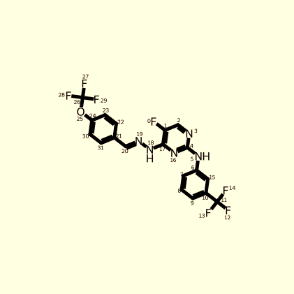 Fc1cnc(Nc2cccc(C(F)(F)F)c2)nc1NN=Cc1ccc(OC(F)(F)F)cc1